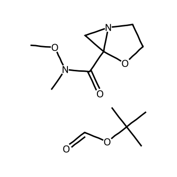 CC(C)(C)OC=O.CON(C)C(=O)C12CN1CCO2